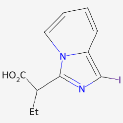 CCC(C(=O)O)c1nc(I)c2ccccn12